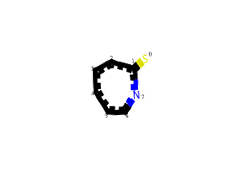 S=c1cccccn1